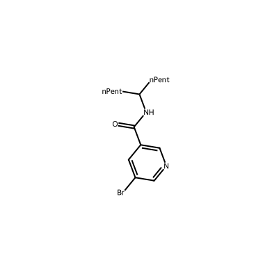 CCCCCC(CCCCC)NC(=O)c1cncc(Br)c1